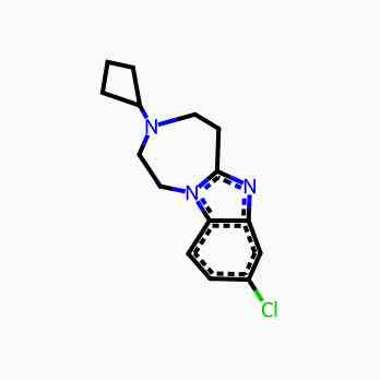 Clc1ccc2c(c1)nc1n2CCN(C2CCC2)CC1